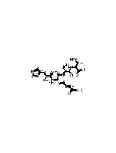 C[C@@H](O)[C@H](NC(=O)[C@H](CS)NC(=O)[C@H](CCCNC(=N)N)NC(=O)[C@@H](N)Cc1c[nH]cn1)C(=O)O